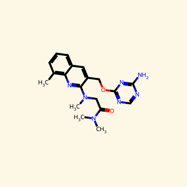 Cc1cccc2cc(COc3ncnc(N)n3)c(N(C)CC(=O)N(C)C)nc12